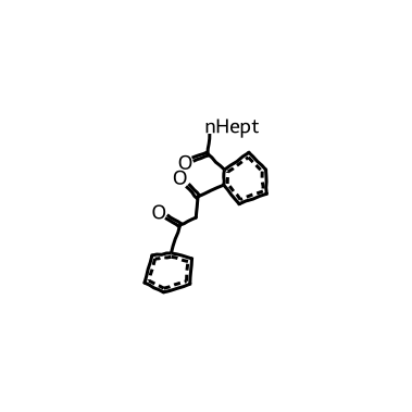 CCCCCCCC(=O)c1ccccc1C(=O)CC(=O)c1ccccc1